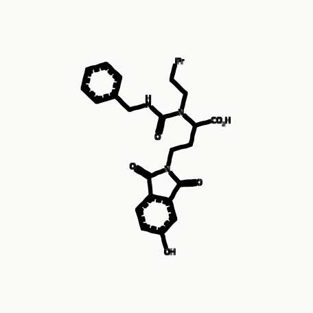 CC(C)CCN(C(=O)NCc1ccccc1)C(CCN1C(=O)c2ccc(O)cc2C1=O)C(=O)O